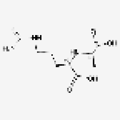 C=C(N)NCCC[C@@H](N[C@H](C)C(=O)O)C(=O)O